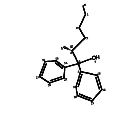 CCCC[C@@H](C)C(O)(c1ccccc1)c1ccccc1